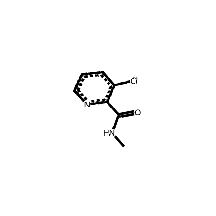 CNC(=O)c1ncccc1Cl